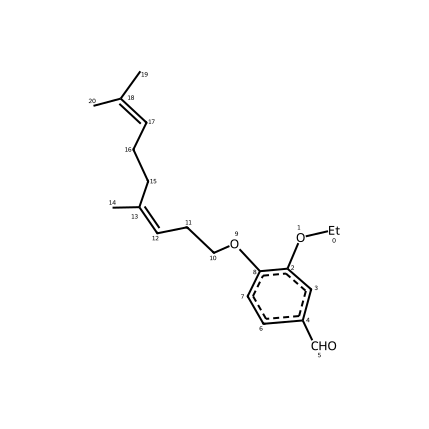 CCOc1cc(C=O)ccc1OCCC=C(C)CCC=C(C)C